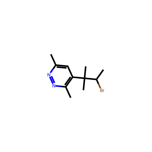 Cc1cc(C(C)(C)C(C)Br)c(C)nn1